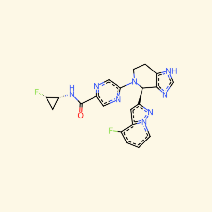 O=C(N[C@@H]1C[C@@H]1F)c1cnc(N2CCc3[nH]cnc3[C@H]2c2cc3c(F)cccn3n2)cn1